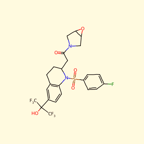 O=C(CC1CCc2cc(C(O)(C(F)(F)F)C(F)(F)F)ccc2N1S(=O)(=O)c1ccc(F)cc1)N1CC2OC2C1